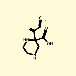 C=CC(=O)C1(C(=O)O)CNCCN1